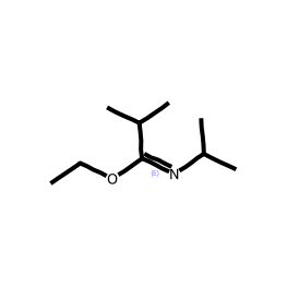 CCO/C(=N/C(C)C)C(C)C